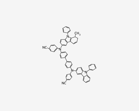 CC1CC=Cc2c1n(-c1ccccc1)c1ccc(N(c3ccc(C#N)cc3)c3ccc(-c4ccc(N(c5ccc(C#N)cc5)c5ccc6c(c5)c5ccccc5n6-c5ccccc5)cc4)cc3)cc21